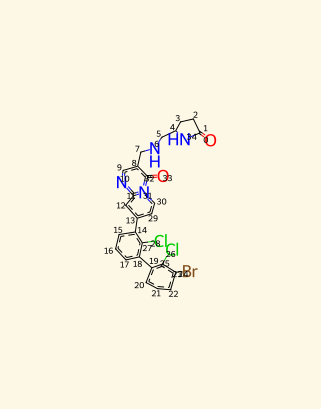 O=C1CCC(CNCc2cnc3cc(-c4cccc(-c5cccc(Br)c5Cl)c4Cl)ccn3c2=O)N1